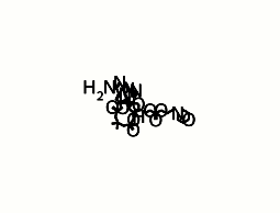 CC1(C)CC(=O)O[C@H]2[C@@H](OC(=O)C1)[C@](C#N)(c1ccc3c(N)ncnn13)O[C@@H]2COC(=O)OCCN1CCOCC1